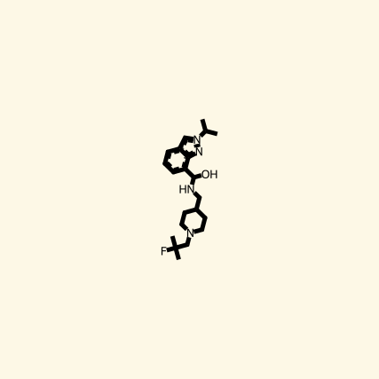 CC(C)n1cc2cccc(C(O)NCC3CCN(CC(C)(C)F)CC3)c2n1